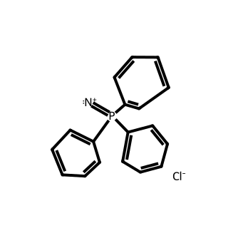 [Cl-].[N+]=P(c1ccccc1)(c1ccccc1)c1ccccc1